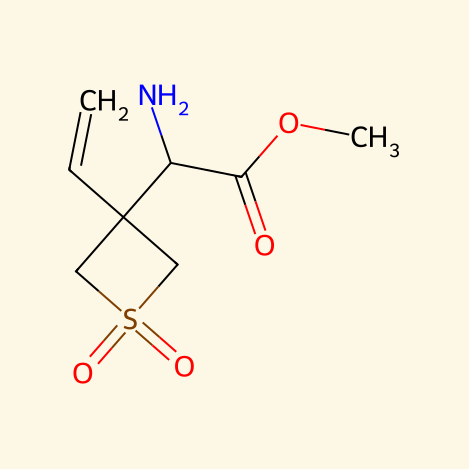 C=CC1(C(N)C(=O)OC)CS(=O)(=O)C1